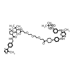 Cc1cnc(Nc2ccc(N3CCN(C(=O)CCOCCOCCOCCC(=O)NC(C(=O)N4CCCC4C(=O)NCc4ccc(-c5scnc5C)cc4)C(C)(C)C)CC3)cc2)nc1Nc1cccc(S(=O)(=O)NC(C)(C)C)c1